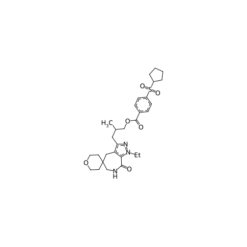 CCn1nc(CC(C)COC(=O)c2ccc(S(=O)(=O)C3CCCC3)cc2)c2c1C(=O)NCC1(CCOCC1)C2